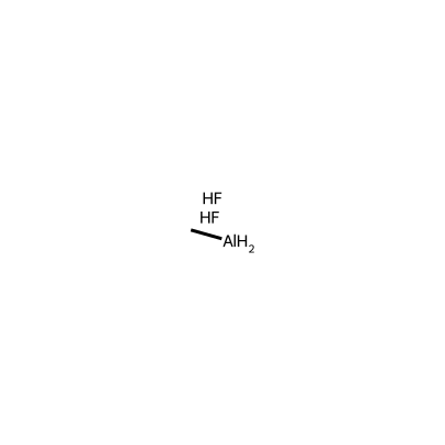 F.F.[CH3][AlH2]